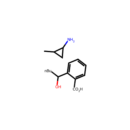 CC1CC1N.CCCCC(O)c1ccccc1C(=O)O